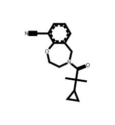 CC(C)(C(=O)N1CCOc2c(C#N)cccc2C1)C1CC1